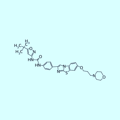 CC(C)(C)c1cc(NC(=O)Nc2ccc(-c3cn4c(n3)sc3cc(OCCCN5CCOCC5)ccc34)cc2)no1